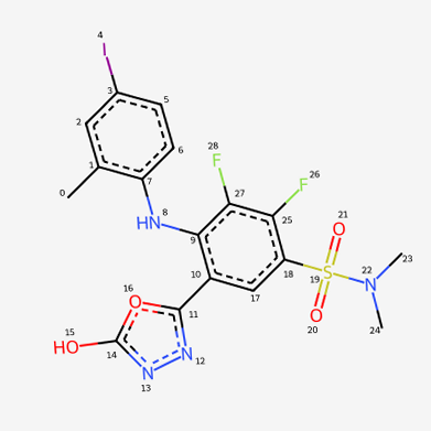 Cc1cc(I)ccc1Nc1c(-c2nnc(O)o2)cc(S(=O)(=O)N(C)C)c(F)c1F